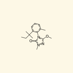 CCC(C)(C)c1cccc(C)c1-n1c(OC)nn(C)c1=O